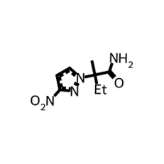 CCC(C)(C(N)=O)n1ccc([N+](=O)[O-])n1